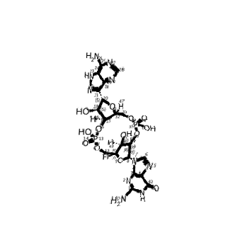 Nc1nc2c(ncn2[C@@H]2O[C@@H]3COP(=O)(O)O[C@H]4[C@@H](O)[C@H](c5n[nH]c6c(N)ncnc56)O[C@@H]4COP(=O)(O)O[C@@H]2[C@@H]3O)c(=O)[nH]1